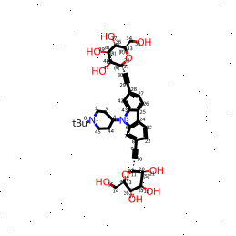 CC(C)(C)N1CCC(n2c3cc(C#C[C@H]4O[C@H](CO)[C@@H](O)[C@H](O)[C@@H]4O)ccc3c3ccc(C#C[C@H]4O[C@H](CO)[C@@H](O)[C@H](O)[C@@H]4O)cc32)CC1